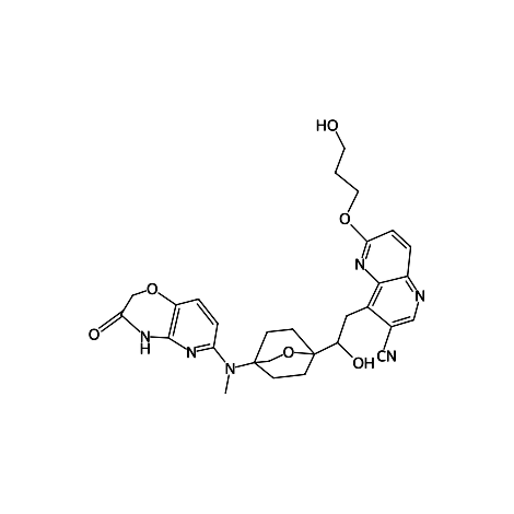 CN(c1ccc2c(n1)NC(=O)CO2)C12CCC(C(O)Cc3c(C#N)cnc4ccc(OCCCO)nc34)(CC1)OC2